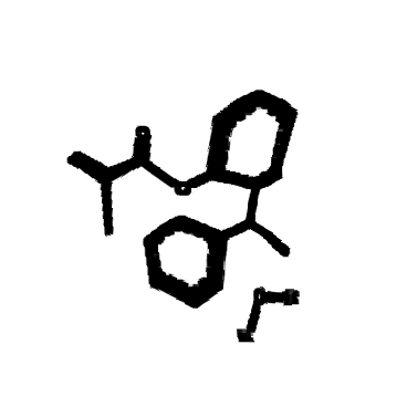 C=C(C)C(=O)Oc1ccccc1C(C)c1ccccc1.CCOCC